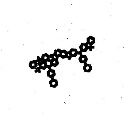 CC(C)(C)c1ccc2c(c1)c1c(N(c3ccc(C4CCCCC4)cc3)c3ccc4c(c3)C(C)(C)c3ccccc3-4)ccc3c4c5cc6sc7cc(N(c8ccc(C9CCCCC9)cc8)c8ccc9c(c8)C(C)(C)c8ccccc8-9)ccc7c6cc5ccc4n2c31